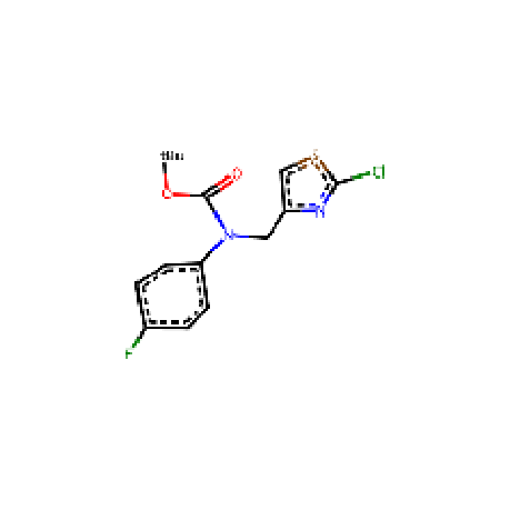 CC(C)(C)OC(=O)N(Cc1csc(Cl)n1)c1ccc(F)cc1